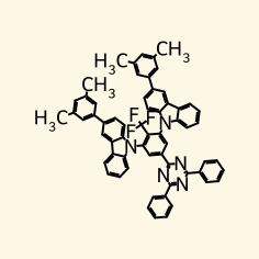 Cc1cc(C)cc(-c2ccc3c(c2)c2ccccc2n3-c2cc(-c3nc(-c4ccccc4)nc(-c4ccccc4)n3)cc(-n3c4ccccc4c4cc(-c5cc(C)cc(C)c5)ccc43)c2C(F)(F)F)c1